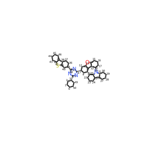 c1ccc(-c2nc(-c3ccc4c(c3)oc3cccc(-n5c6ccccc6c6ccccc65)c34)nc(-c3ccc4c(c3)sc3ccccc34)n2)cc1